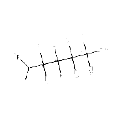 FC(F)C(F)(F)C(F)(F)C(F)(Cl)C(F)(F)Cl